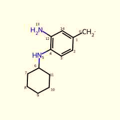 [CH2]c1ccc(NC2CCCCC2)c(N)c1